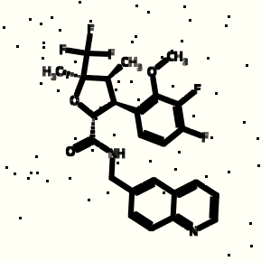 COc1c([C@H]2[C@H](C(=O)NCc3ccc4ncccc4c3)O[C@@](C)(C(F)(F)F)[C@H]2C)ccc(F)c1F